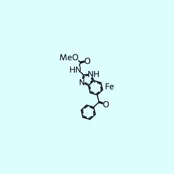 COC(=O)Nc1nc2cc(C(=O)c3ccccc3)ccc2[nH]1.[Fe]